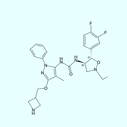 CCN1C[C@@H](NC(=O)Nc2c(C)c(OCC3CNC3)nn2-c2ccccc2)[C@H](c2ccc(F)c(F)c2)O1